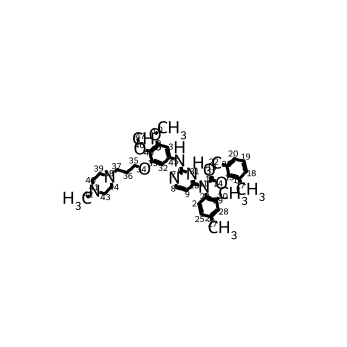 COc1cc(Nc2nccc(N(C(=O)Oc3c(C)cccc3C)c3ccc(C)cc3C)n2)cc(OCCCN2CCN(C)CC2)c1OC